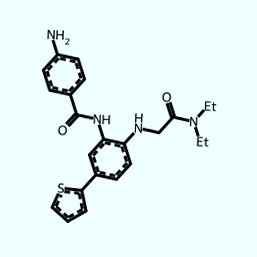 CCN(CC)C(=O)CNc1ccc(-c2cccs2)cc1NC(=O)c1ccc(N)cc1